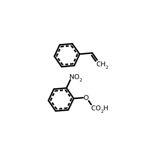 C=Cc1ccccc1.O=C(O)Oc1ccccc1[N+](=O)[O-]